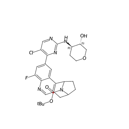 CC(C)(C)OC(=O)N1C2CCC1c1c(cnc3c(F)cc(-c4nc(N[C@@H]5CCOC[C@H]5O)ncc4Cl)cc13)C2